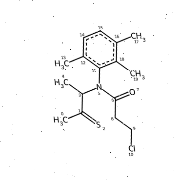 CC(=S)C(C)N(C(=O)CCCl)c1c(C)ccc(C)c1C